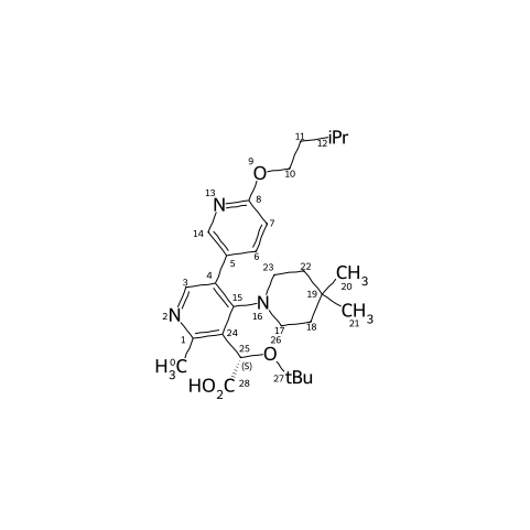 Cc1ncc(-c2ccc(OCCC(C)C)nc2)c(N2CCC(C)(C)CC2)c1[C@H](OC(C)(C)C)C(=O)O